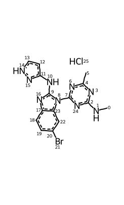 CNc1nc(C)nc(-n2c(Nc3cc[nH]n3)nc3ccc(Br)cc32)n1.Cl